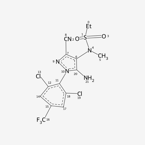 CCS(=O)(=O)N(C)c1c(C#N)nn(-c2c(Cl)cc(C(F)(F)F)cc2Cl)c1N